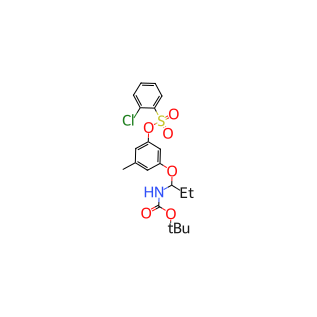 CCC(NC(=O)OC(C)(C)C)Oc1cc(C)cc(OS(=O)(=O)c2ccccc2Cl)c1